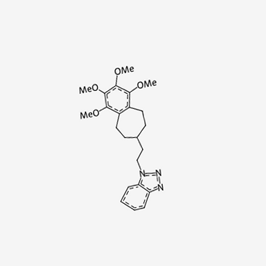 COc1c2c(c(OC)c(OC)c1OC)CCC(CCn1nnc3ccccc31)CC2